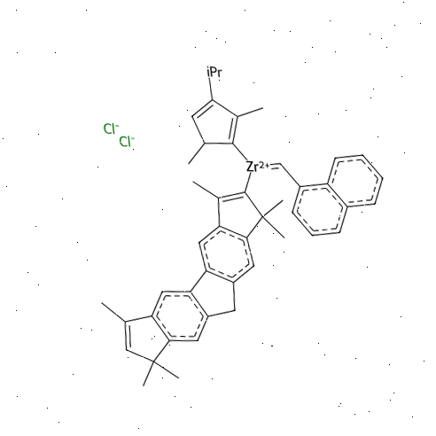 CC1=CC(C)(C)c2cc3c(cc21)-c1cc2c(cc1C3)C(C)(C)[C]([Zr+2](=[CH]c1cccc3ccccc13)[C]1=C(C)C(C(C)C)=CC1C)=C2C.[Cl-].[Cl-]